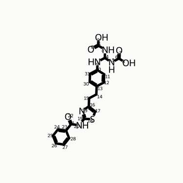 O=C(O)NC(NC(=O)O)Nc1ccc(CCc2csc(NC(=O)c3ccccc3)n2)cc1